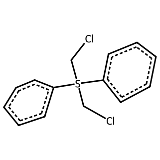 ClCS(CCl)(c1ccccc1)c1ccccc1